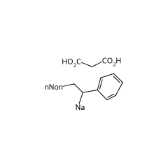 CCCCCCCCCC[CH]([Na])c1ccccc1.O=C(O)CC(=O)O